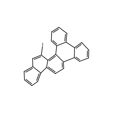 Ic1cc2ccccc2c2ccc3c4ccccc4c4ccccc4c3c12